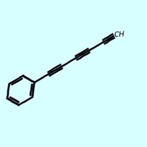 C#CC#CC#Cc1ccccc1